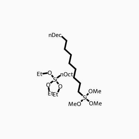 CCCCCCCCCCCCCCCCCC[Si](OC)(OC)OC.CCCCCCCC[Si](OCC)(OCC)OCC